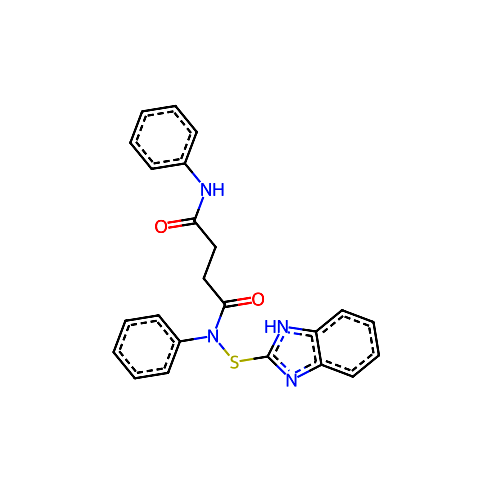 O=C(CCC(=O)N(Sc1nc2ccccc2[nH]1)c1ccccc1)Nc1ccccc1